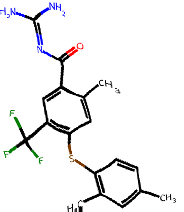 Cc1ccc(Sc2cc(C)c(C(=O)N=C(N)N)cc2C(F)(F)F)c(C)c1